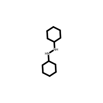 C1CCC(NNC2CCCCC2)CC1